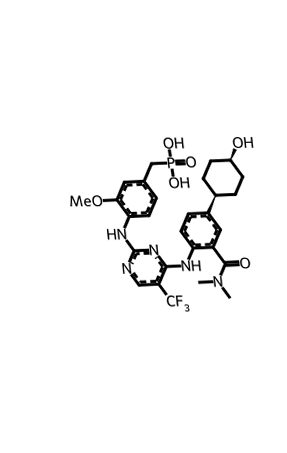 COc1cc(CP(=O)(O)O)ccc1Nc1ncc(C(F)(F)F)c(Nc2ccc([C@H]3CC[C@@H](O)CC3)cc2C(=O)N(C)C)n1